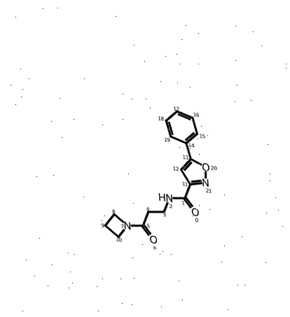 O=C(NCCC(=O)N1CCC1)c1cc(-c2ccccc2)on1